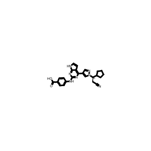 N#CC[C@H](C1CCCC1)n1cc(-c2nc(Nc3ccc(C(=O)O)cc3)nc3[nH]ccc23)cn1